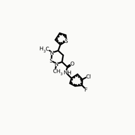 CN1SN(C)C(c2cccs2)CC1C(=O)Nc1ccc(F)c(Cl)c1